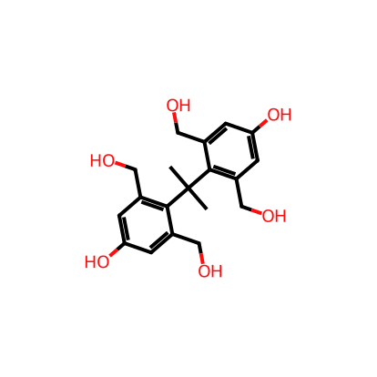 CC(C)(c1c(CO)cc(O)cc1CO)c1c(CO)cc(O)cc1CO